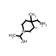 CC(S)N1CCC(C)(CN)CC1